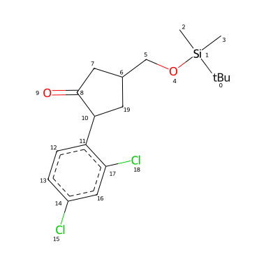 CC(C)(C)[Si](C)(C)OCC1CC(=O)C(c2ccc(Cl)cc2Cl)C1